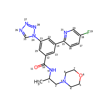 CC(CN1CCOCC1)NC(=O)c1cc(-c2ccc(F)cn2)cc(-n2cnnn2)c1